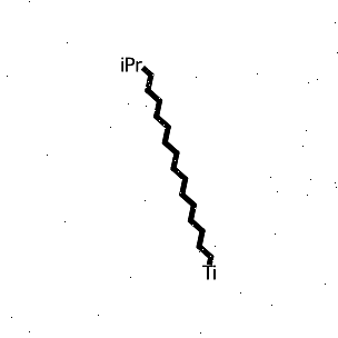 CC(C)CCCCCCCCCCCCCC[CH2][Ti]